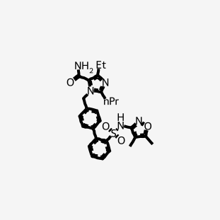 CCCc1nc(CC)c(C(N)=O)n1Cc1ccc(-c2ccccc2S(=O)(=O)Nc2noc(C)c2C)cc1